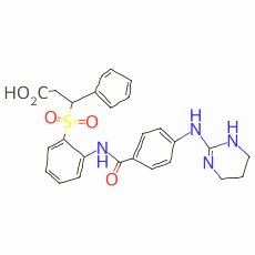 O=C(O)CC(c1ccccc1)S(=O)(=O)c1ccccc1NC(=O)c1ccc(NC2=NCCCN2)cc1